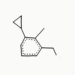 Cc1c(CO)cccc1C1CC1